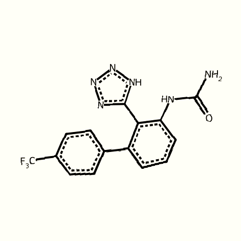 NC(=O)Nc1cccc(-c2ccc(C(F)(F)F)cc2)c1-c1nnn[nH]1